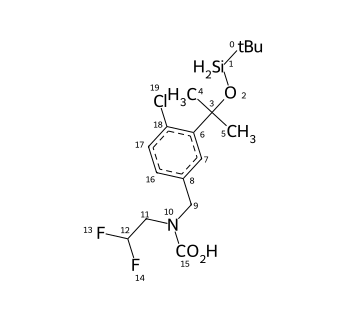 CC(C)(C)[SiH2]OC(C)(C)c1cc(CN(CC(F)F)C(=O)O)ccc1Cl